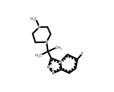 CN1CCN(C(C)(C)c2nnc3ccc(F)cn23)CC1